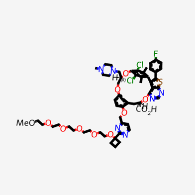 COCCOCCOCCOCCOCCOC1(c2nccc(COc3ccc4cc3C[C@H](C(=O)O)Oc3ncnc5sc(-c6ccc(F)cc6)c(c35)-c3c(C)c(Cl)c(c(Cl)c3C)O[C@H](CN3CCN(C)CC3)CO4)n2)CCC1